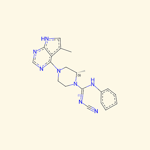 Cc1c[nH]c2ncnc(N3CCN(/C(=N/C#N)Nc4ccccc4)[C@@H](C)C3)c12